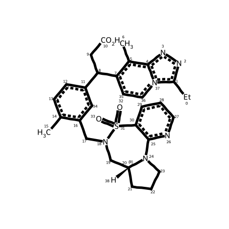 CCc1nnc2c(C)c(C(CC(=O)O)c3ccc(C)c(CN4C[C@H]5CCCN5c5ncccc5S4(=O)=O)c3)ccn12